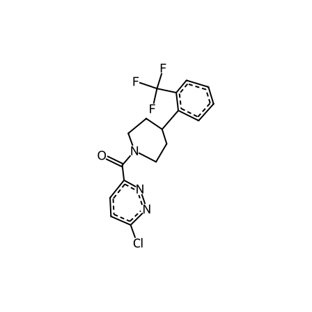 O=C(c1ccc(Cl)nn1)N1CCC(c2ccccc2C(F)(F)F)CC1